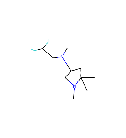 CN(CC(F)F)C1CN(C)C(C)(C)C1